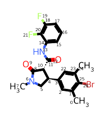 Cc1cc([C@H]2CN(C)C(=O)[C@@H]2C(=O)Nc2cccc(F)c2F)cc(C)c1Br